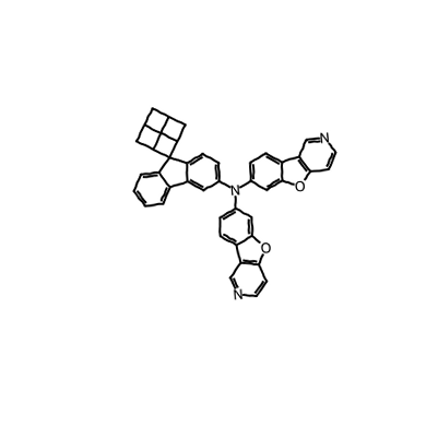 c1ccc2c(c1)-c1cc(N(c3ccc4c(c3)oc3ccncc34)c3ccc4c(c3)oc3ccncc34)ccc1C21C2CC3CC4CC1C342